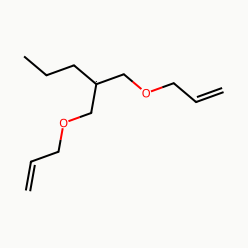 C=CCOC[C](CCC)COCC=C